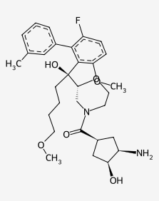 COCCCC[C@](O)(c1c(OC)ccc(F)c1-c1cccc(C)c1)[C@H]1CN(C(=O)[C@H]2C[C@@H](N)[C@@H](O)C2)CCO1